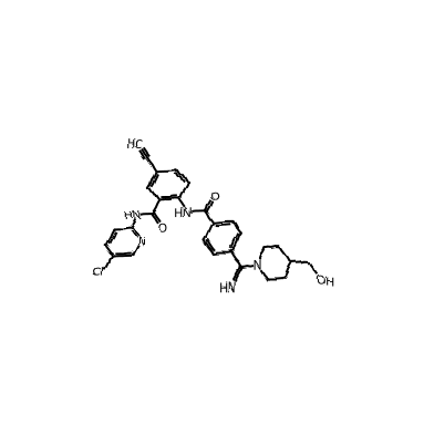 C#Cc1ccc(NC(=O)c2ccc(C(=N)N3CCC(CO)CC3)cc2)c(C(=O)Nc2ccc(Cl)cn2)c1